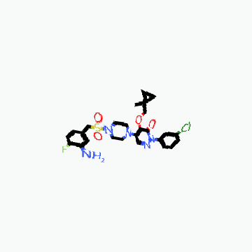 CC1(COc2c(N3CCN(S(=O)(=O)Cc4ccc(F)c(N)c4)CC3)cnn(-c3cccc(Cl)c3)c2=O)CC1